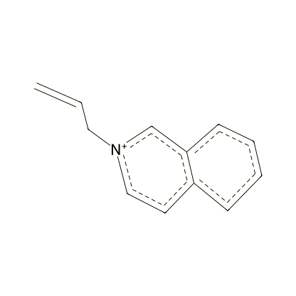 C=CC[n+]1ccc2ccccc2c1